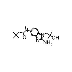 CN(C(=O)CC(C)(C)C)c1ccc2c(c1)nc(N)n2CC(C)(C)O